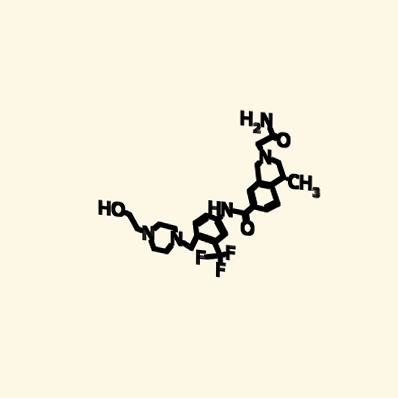 C[C@H]1CN(CC(N)=O)Cc2cc(C(=O)Nc3ccc(CN4CCN(CCO)CC4)c(C(F)(F)F)c3)ccc21